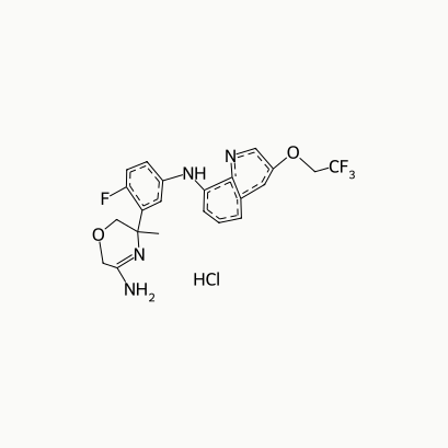 CC1(c2cc(Nc3cccc4cc(OCC(F)(F)F)cnc34)ccc2F)COCC(N)=N1.Cl